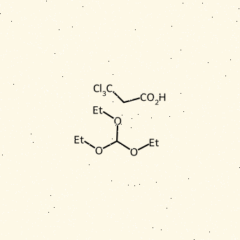 CCOC(OCC)OCC.O=C(O)CC(Cl)(Cl)Cl